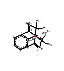 O=C1OC(=O)c2cccc1c2C(C(F)(F)F)C(F)(F)F